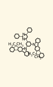 CC1(C)c2ccccc2-c2cc3c4ccccc4n(-c4cc(-c5cc(-c6ccccc6)nc(-c6ccccc6)n5)cc(-n5c6ccccc6c6cc7c(cc65)C(C)(C)c5ccccc5-7)c4)c3cc21